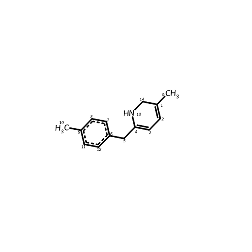 CC1=CC=C(Cc2ccc(C)cc2)NC1